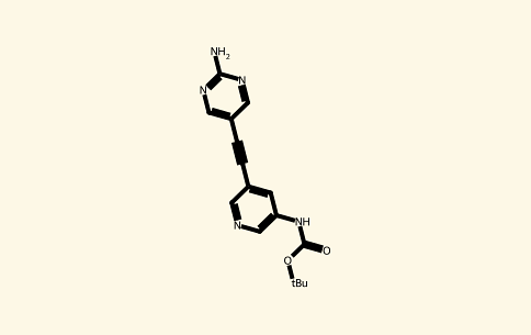 CC(C)(C)OC(=O)Nc1cncc(C#Cc2cnc(N)nc2)c1